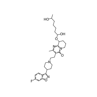 Cc1nc2n(c(=O)c1CCN1CCC(c3noc4cc(F)ccc34)CC1)CCCC2OC(O)CCCCC(C)O